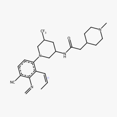 C=Nc1c(C#N)ccc(N2CC(NC(=O)CC3CCN(C)CC3)CC(C(F)(F)F)C2)c1/C=C\C